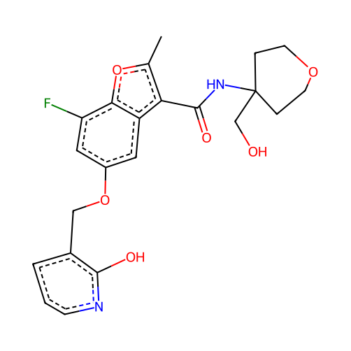 Cc1oc2c(F)cc(OCc3cccnc3O)cc2c1C(=O)NC1(CO)CCOCC1